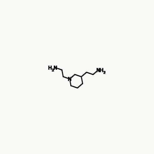 NCCC1CCCN(CCN)C1